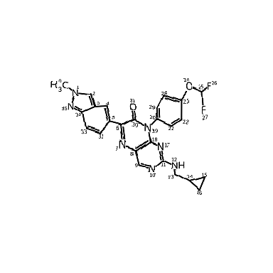 Cn1cc2cc(-c3nc4cnc(NCC5CC5)nc4n(-c4ccc(OC(F)F)cc4)c3=O)ccc2n1